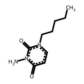 CCCCCn1ccc(=O)n(N)c1=O